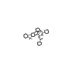 C=C(/N=C(\N=C(/N)c1ccccc1)n1c2ccccc2c2cc3c(cc21)C(C)(C)c1ccccc1-3)c1ccccc1